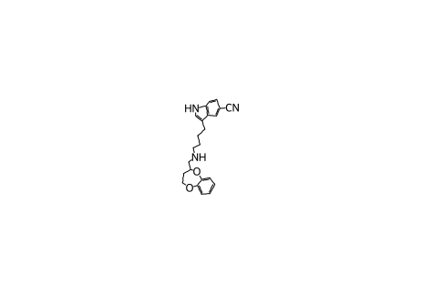 N#Cc1ccc2[nH]cc(CCCCNCC3CCOc4ccccc4O3)c2c1